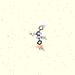 Cc1cc(C2CCNCC2)nc2c1nc(-c1ccc(S(C)(=O)=O)cc1)n2C